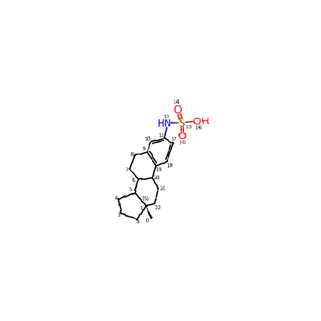 C[C@@]12CCCC1C1CCc3cc(NS(=O)(=O)O)ccc3C1CC2